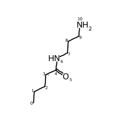 CCC[CH]C(=O)NCCCN